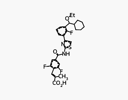 CCOC(c1cccc(-c2csc(NC(=O)c3cc(F)c(C=C(C)C(=O)O)c(F)c3)n2)c1F)C1CCCCC1